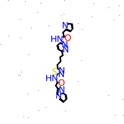 O=C(Cc1ccccn1)Nc1ccc(CCCCc2nnc(NC(=O)Cc3cn4ccccc4n3)s2)nn1